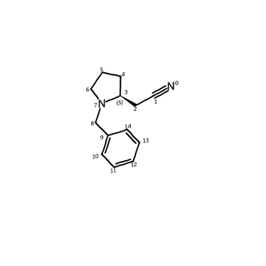 N#CC[C@@H]1CCCN1Cc1ccccc1